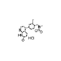 CN(Cc1ccc(-c2ccnc3[nH]c(=O)ccc23)cc1F)[SH](=O)=O.Cl